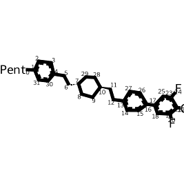 CCCCCc1ccc(CC[C@H]2CC[C@H](CCc3ccc(-c4cc(F)c(Cl)c(F)c4)cc3)CC2)cc1